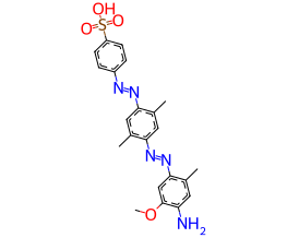 COc1cc(N=Nc2cc(C)c(N=Nc3ccc(S(=O)(=O)O)cc3)cc2C)c(C)cc1N